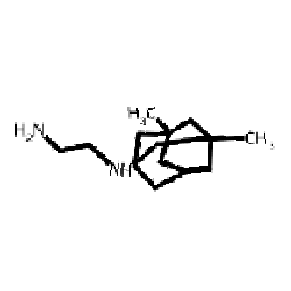 CC12CC3CC(C)(C1)CC(NCCN)(C3)C2